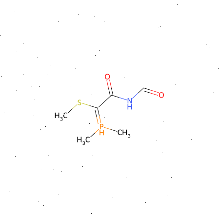 CSC(C(=O)NC=O)=[PH](C)C